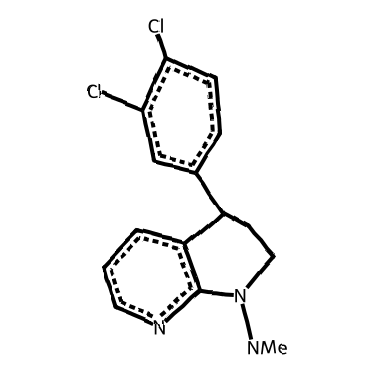 CNN1CCC(c2ccc(Cl)c(Cl)c2)c2cccnc21